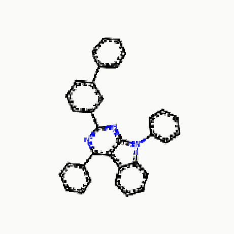 c1ccc(-c2cccc(-c3nc(-c4ccccc4)c4c5ccccc5n(-c5ccccc5)c4n3)c2)cc1